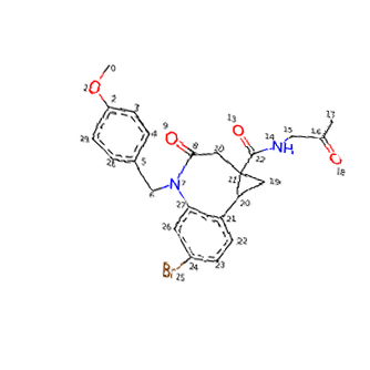 COc1ccc(CN2C(=O)CC3(C(=O)NCC(C)=O)CC3c3ccc(Br)cc32)cc1